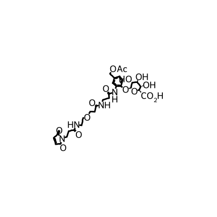 CC(=O)OCc1ccc(O[C@@H]2O[C@H](C(=O)O)[C@@H](O)[C@H](O)[C@H]2O)c(NC(=O)CCNC(=O)CCOCCNC(=O)CCN2C(=O)C=CC2=O)c1